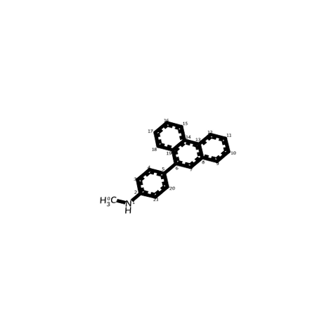 CNc1ccc(-c2cc3ccccc3c3ccccc23)cc1